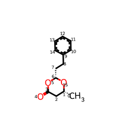 C[C@@H]1CC(=O)O[C@H](CCc2ccccc2)O1